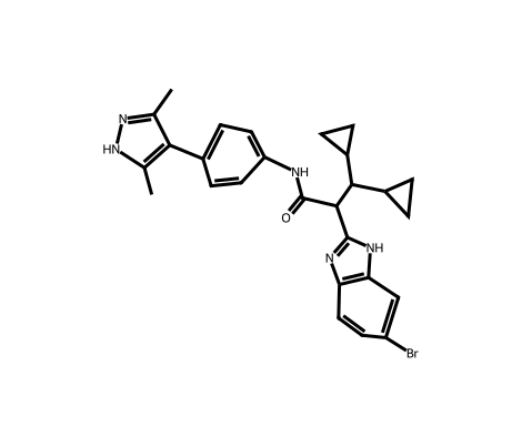 Cc1n[nH]c(C)c1-c1ccc(NC(=O)C(c2nc3ccc(Br)cc3[nH]2)C(C2CC2)C2CC2)cc1